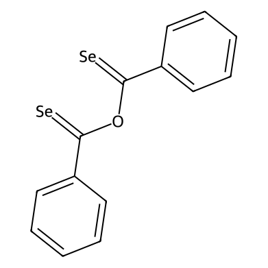 [Se]=C(OC(=[Se])c1ccccc1)c1ccccc1